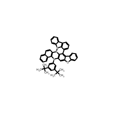 CC(C)(C)c1cc(N2c3cc4oc5ccccc5c4c4c3B(c3ccc5ccccc5c32)n2c3ccccc3c3cccc-4c32)cc(C(C)(C)C)c1